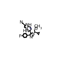 COCC(C1CC1)n1cnc(-c2ccc(F)cc2)c1C(=N)/C=C\c1ncc(C#N)[nH]1